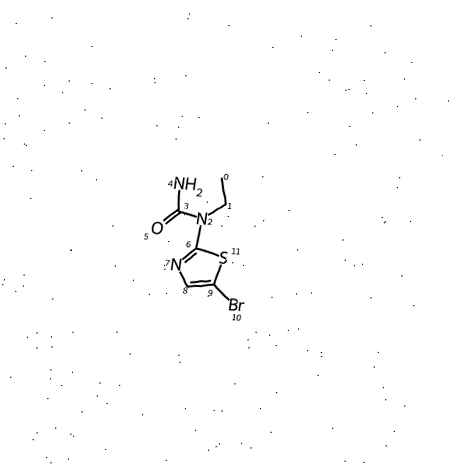 CCN(C(N)=O)c1ncc(Br)s1